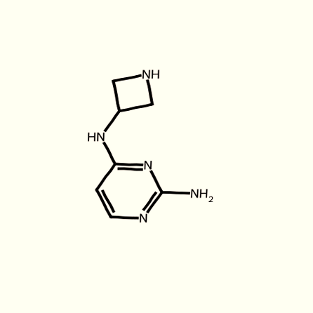 Nc1nccc(NC2CNC2)n1